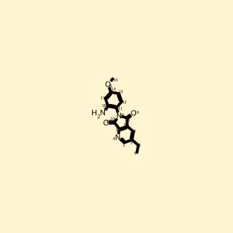 CCc1cnc2c(c1)C(=O)N(c1ccc(OC)cc1N)C2=O